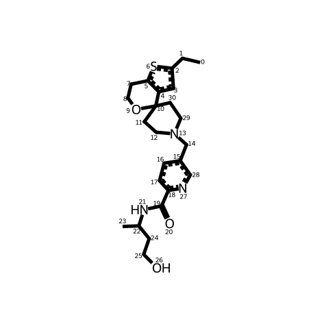 CCc1cc2c(s1)CCOC21CCN(Cc2ccc(C(=O)NC(C)CCO)nc2)CC1